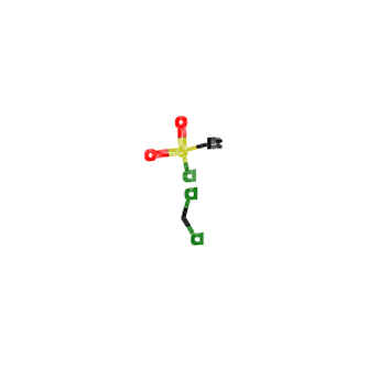 CCS(=O)(=O)Cl.ClCCl